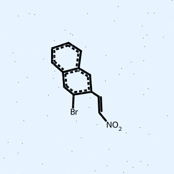 O=[N+]([O-])/C=C/c1cc2ccccc2cc1Br